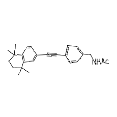 CC(=O)NCc1ccc(C#Cc2ccc3c(c2)C(C)(C)CCC3(C)C)cc1